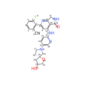 N#Cc1cccc(F)c1-c1cc(Nc2ccc(N3CC[C@]4(CC(O)CO4)C3)cn2)c2c(n1)CNC2=O